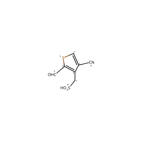 N#Cc1csc(C=O)c1CS(=O)(=O)O